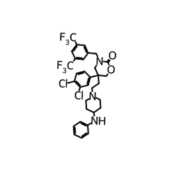 O=C1OCC(CCN2CCC(Nc3ccccc3)CC2)(c2ccc(Cl)c(Cl)c2)CN1Cc1cc(C(F)(F)F)cc(C(F)(F)F)c1